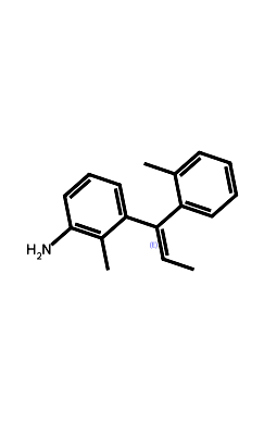 C/C=C(\c1ccccc1C)c1cccc(N)c1C